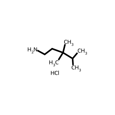 CC(C)C(C)(C)CCN.Cl